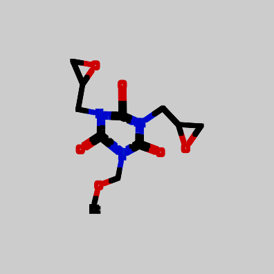 CCOCn1c(=O)n(CC2CO2)c(=O)n(CC2CO2)c1=O